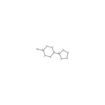 FN1CCC(N2CCCC2)CC1